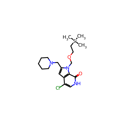 C[Si](C)(C)CCOCn1c(CN2CCCCC2)cc2c(Cl)c[nH]c(=O)c21